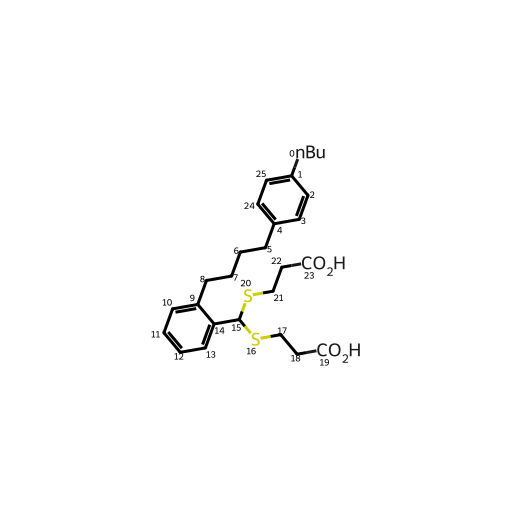 CCCCc1ccc(CCCCc2ccccc2C(SCCC(=O)O)SCCC(=O)O)cc1